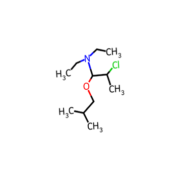 CCN(CC)C(OCC(C)C)C(C)Cl